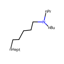 CCCCCCCCCCCCN(CCC)CCCC